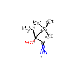 CC[Si](CC)(CC)C(C)(O)C=N